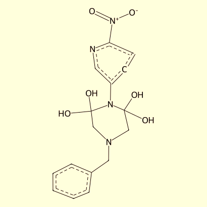 O=[N+]([O-])c1ccc(N2C(O)(O)CN(Cc3ccccc3)CC2(O)O)cn1